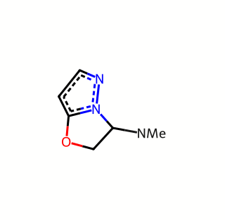 CNC1COc2ccnn21